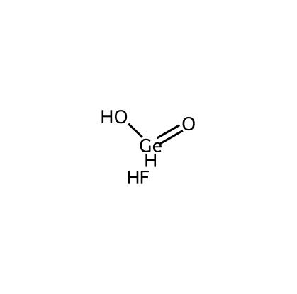 F.[O]=[GeH][OH]